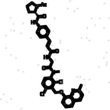 CC(=O)N1CCC[C@H]1C(=O)Nc1ccc(C=CC(=O)NCC(=O)N(C)c2ccc(Cl)c(COc3cccc4ccc(C)nc34)c2Cl)cc1